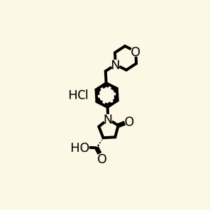 Cl.O=C(O)[C@H]1CC(=O)N(c2ccc(CN3CCOCC3)cc2)C1